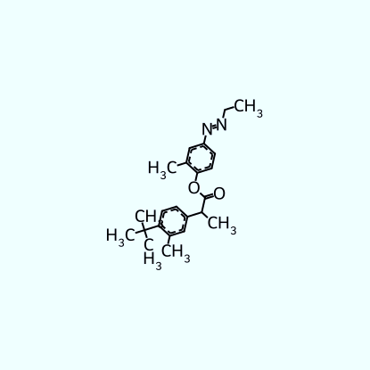 CCN=Nc1ccc(OC(=O)C(C)c2ccc(C(C)(C)C)c(C)c2)c(C)c1